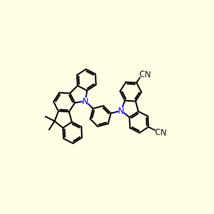 CC1(C)c2ccccc2-c2c1ccc1c3ccccc3n(-c3cccc(-n4c5ccc(C#N)cc5c5cc(C#N)ccc54)c3)c21